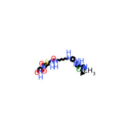 Cn1ncc(-c2nc(NC3CCC(NCCCCCCNC(=O)NCc4cc5c(s4)C(=O)N(C4CCC(=O)NC4=O)C5)CC3)ncc2Cl)c1CC1CC1